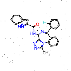 Cc1nnc2n1-c1ccccc1C(c1ccccc1F)=NC2NC(=O)c1cc2ccccc2[nH]1